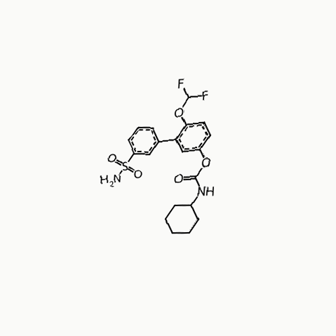 NS(=O)(=O)c1cccc(-c2cc(OC(=O)NC3CCCCC3)ccc2OC(F)F)c1